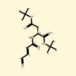 CC(C)(C)OC(=O)C[C@H](NC(=O)C=CC=O)C(=O)OC(C)(C)C